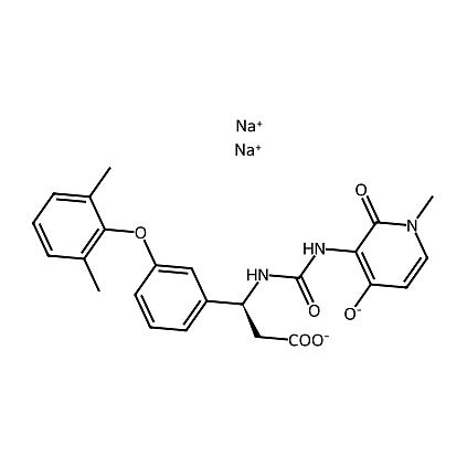 Cc1cccc(C)c1Oc1cccc([C@H](CC(=O)[O-])NC(=O)Nc2c([O-])ccn(C)c2=O)c1.[Na+].[Na+]